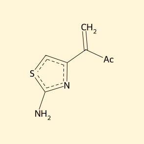 C=C(C(C)=O)c1csc(N)n1